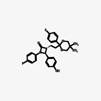 CC1(C)COC(CC[C@H]2C(=O)N(c3ccc(F)cc3)[C@@H]2c2ccc(O)cc2)(c2ccc(F)cc2)OC1